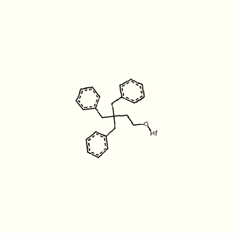 [Hf][O]CCC(Cc1ccccc1)(Cc1ccccc1)Cc1ccccc1